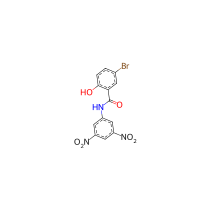 O=C(Nc1cc([N+](=O)[O-])cc([N+](=O)[O-])c1)c1cc(Br)ccc1O